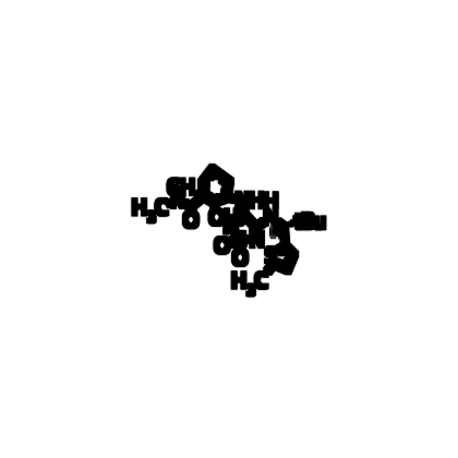 Cc1ccc([C@H](NC2=NS(=O)(=O)N=C2Nc2cccc(C(=O)N(C)C)c2O)C(C)(C)C)s1